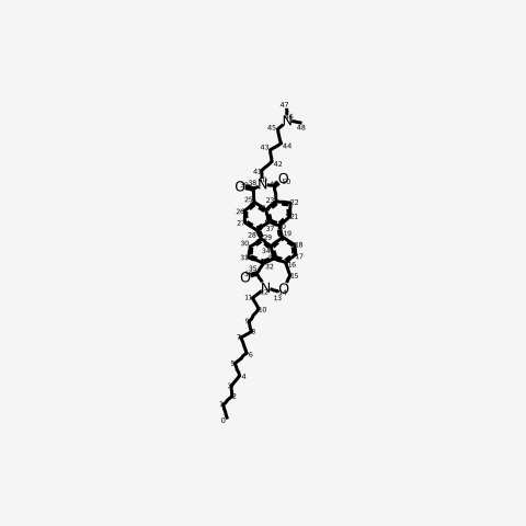 CCCCCCCCCCCCN1COCc2ccc3c4ccc5c6c(ccc(c7ccc(c2c37)C1=O)c64)C(=O)N(CCCCCN(C)C)C5=O